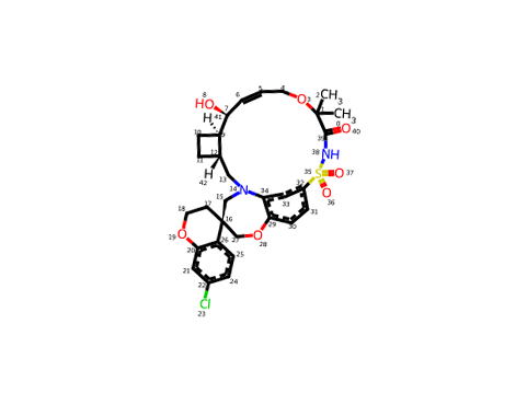 CC1(C)OCC=C[C@H](O)[C@@H]2CC[C@H]2CN2C[C@@]3(CCOc4cc(Cl)ccc43)COc3ccc(cc32)S(=O)(=O)NC1=O